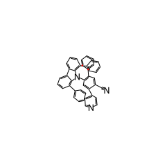 N#Cc1cc(-c2ccccc2)c(-n2c3c(-c4ccccc4)cccc3c3cccc(-c4ccccc4)c32)cc1-c1ccncc1